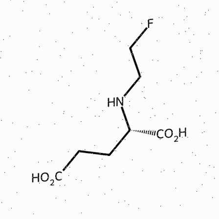 O=C(O)CC[C@H](NCCF)C(=O)O